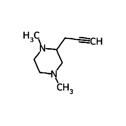 C#CCC1CN(C)CCN1C